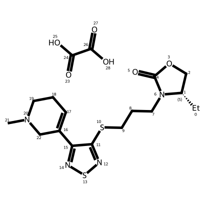 CC[C@H]1COC(=O)N1CCCSc1nsnc1C1=CCCN(C)C1.O=C(O)C(=O)O